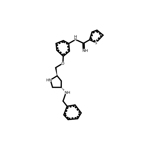 N=C(Nc1cccc(OC[C@H]2C[C@H](NCc3ccccc3)CN2)c1)c1cccs1